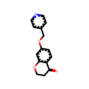 O=C1CCOc2cc(OCc3ccncc3)ccc21